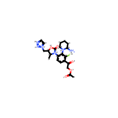 CC(=O)OCC(=O)c1ccc(N2C(=O)OC(Cn3ccnn3)C2C)c(N2CCCCC2N)c1F